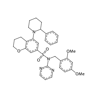 COc1ccc(CN(c2ncccn2)S(=O)(=O)c2cc3c(c(N4CCCCC4c4ccccc4)c2)CCCO3)c(OC)c1